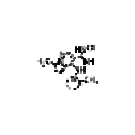 Cc1ccc2c(N[C@@H]3CCCC[C@@H]3C)c(C(=N)NO)cnn12